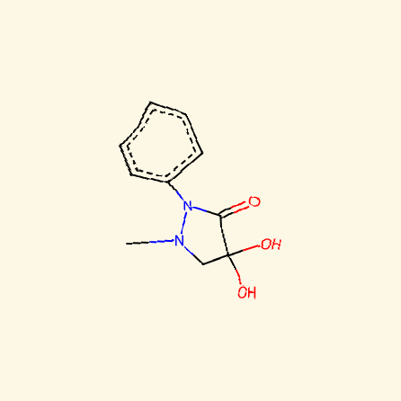 CN1CC(O)(O)C(=O)N1c1ccccc1